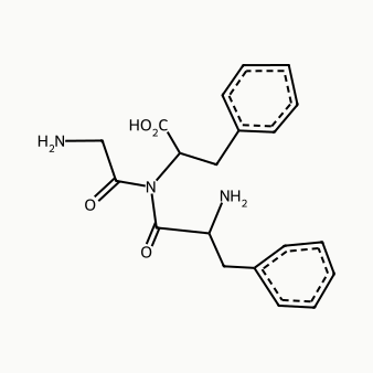 NCC(=O)N(C(=O)C(N)Cc1ccccc1)C(Cc1ccccc1)C(=O)O